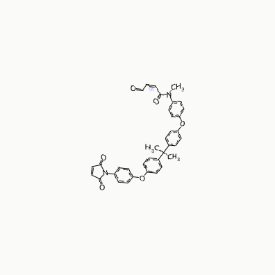 CN(C(=O)/C=C\C=O)c1ccc(Oc2ccc(C(C)(C)c3ccc(Oc4ccc(N5C(=O)C=CC5=O)cc4)cc3)cc2)cc1